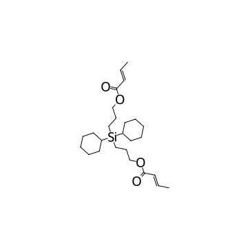 CC=CC(=O)OCCC[Si](CCCOC(=O)C=CC)(C1CCCCC1)C1CCCCC1